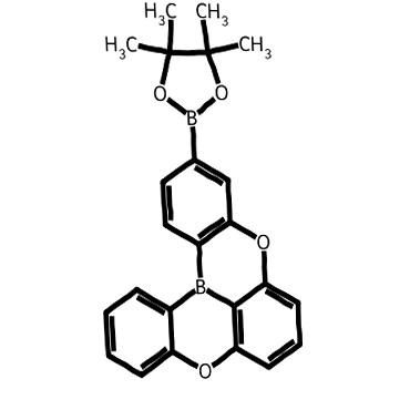 CC1(C)OB(c2ccc3c(c2)Oc2cccc4c2B3c2ccccc2O4)OC1(C)C